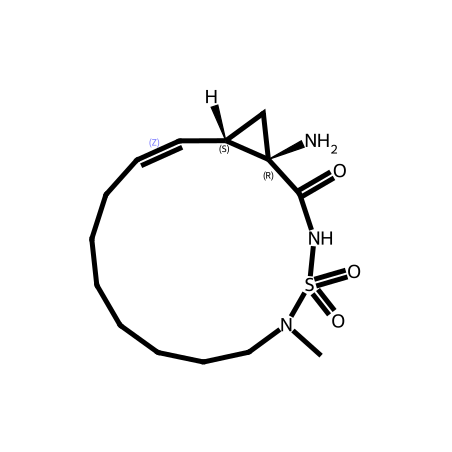 CN1CCCCCCC/C=C\[C@@H]2C[C@]2(N)C(=O)NS1(=O)=O